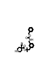 CC(C)(Cc1cccc(CNC(=O)OCc2ccccc2)c1)OC(=O)C1(C#N)CCNCC1